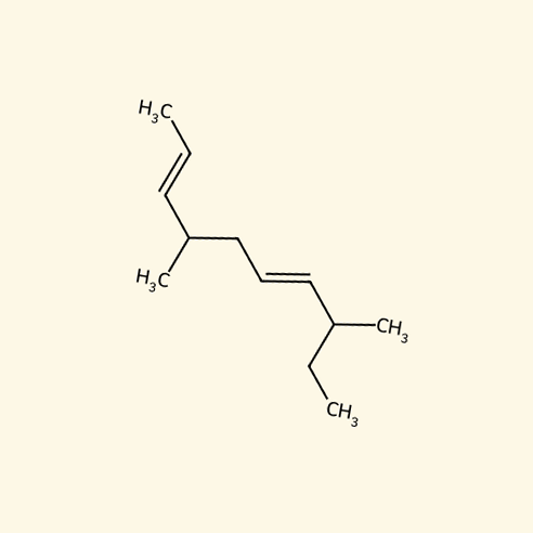 CC=CC(C)CC=CC(C)CC